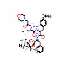 COc1ccc(C[C@H](NC(=O)[C@H](C)NC(=O)CN2CCOCC2)C(=O)N[C@@H](Cc2ccccc2)B2OC(C)(C)C(C)(C)O2)cc1